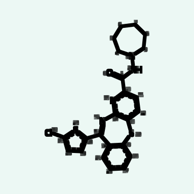 O=C(NN1CCCCCC1)c1ccc2c(n1)N=C(c1ccc(Cl)s1)c1ccccc1S2